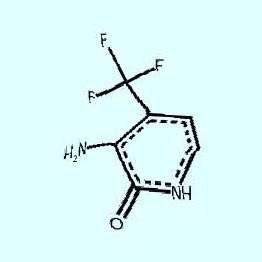 Nc1c(C(F)(F)F)cc[nH]c1=O